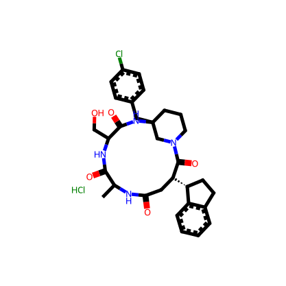 CC1NC(=O)CC([C@@H]2CCc3ccccc32)C(=O)N2CCCC(Cc3ccc(Cl)cc3)(C2)NC(=O)C(CO)NC1=O.Cl